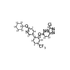 FC(F)(F)c1ccc(-c2ccc(OC3CCCCC3)nc2)c(Oc2ccc3nnc(Cl)n3n2)c1